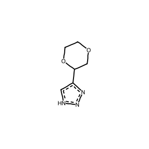 c1[nH]nnc1C1COCCO1